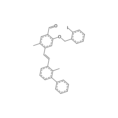 Cc1cc(C=O)c(OCc2ccccc2I)cc1/C=C/c1cccc(-c2ccccc2)c1C